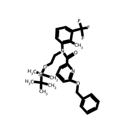 Cc1c(N(CCO[Si](C)(C)C(C)(C)C)C(=O)c2cccc(OCc3ccccc3)n2)cccc1C(F)(F)F